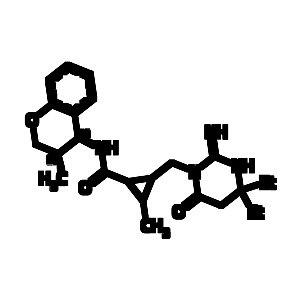 CCC1(CC)CC(=O)N(CC2C(C)C2C(=O)N[C@@H]2c3ccccc3OC[C@@H]2C)C(=N)N1